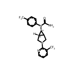 NC(=O)N(c1ccc(C(F)(F)F)cc1)[C@H]1C2CN(c3ncccc3C(F)(F)F)C[C@@H]21